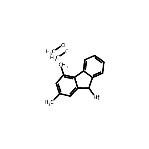 CCl.CCl.Cc1cc(C)c2c(c1)[CH]([Hf])c1ccccc1-2